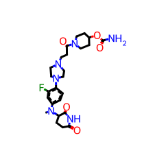 CN(c1ccc(N2CCN(CCC(=O)N3CCC(OC(N)=O)CC3)CC2)c(F)c1)C1CCC(=O)NC1=O